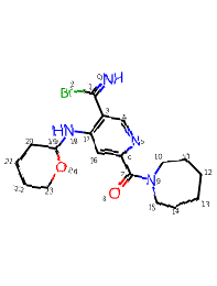 N=C(Br)c1cnc(C(=O)N2CCCCCC2)cc1NC1CCCCO1